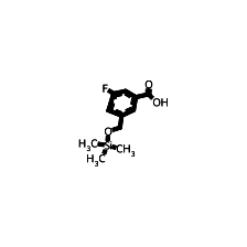 C[Si](C)(C)OCc1cc(F)cc(C(=O)O)c1